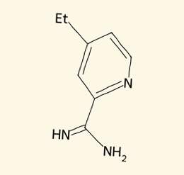 [CH2]Cc1ccnc(C(=N)N)c1